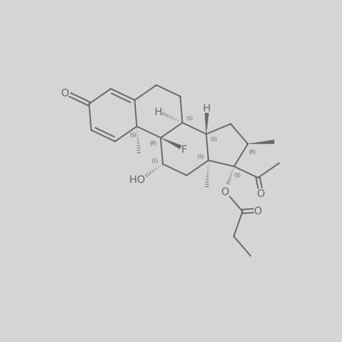 CCC(=O)O[C@@]1(C(C)=O)[C@H](C)C[C@H]2[C@@H]3CCC4=CC(=O)C=C[C@]4(C)[C@@]3(F)[C@@H](O)C[C@@]21C